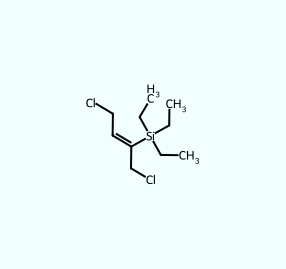 CC[Si](CC)(CC)/C(=C\CCl)CCl